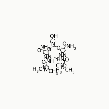 CCn1nc(C)cc1C(=O)Nc1nc2cc(C(N)=O)cc3c2n1C/C=C/Cn1c(NC(=O)c2cc(C)nn2CC)nc2cc(C(N)=O)cc(c21)OCC(N1CCC(O)CC1)CO3